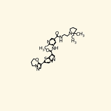 Cc1ncc(C(=O)NCCN2CCCC2(C)C)cc1NC(=O)c1cnn2cc(-c3cnn4c3OCCC4)sc12